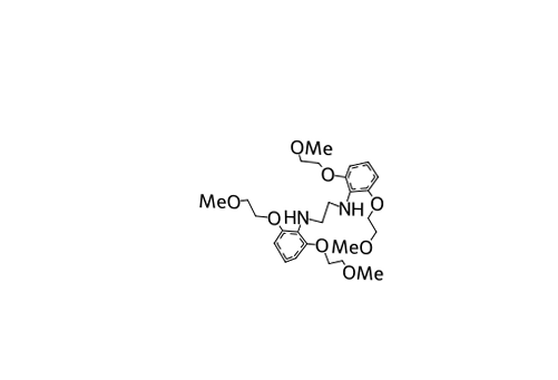 COCCOc1cccc(OCCOC)c1NCCNc1c(OCCOC)cccc1OCCOC